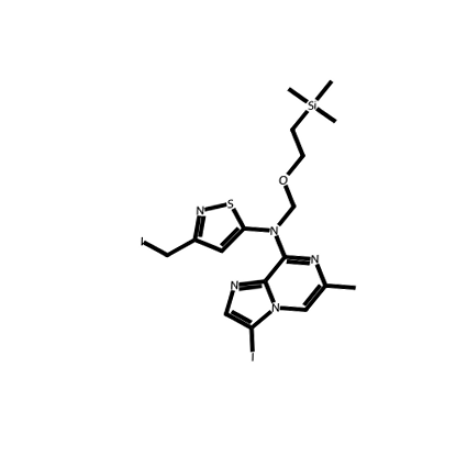 Cc1cn2c(I)cnc2c(N(COCC[Si](C)(C)C)c2cc(CI)ns2)n1